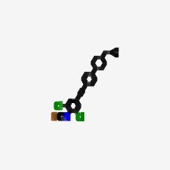 S=C=Nc1c(Cl)cc(C#Cc2ccc(C3CCC(CC4CC4)CC3)cc2)cc1Cl